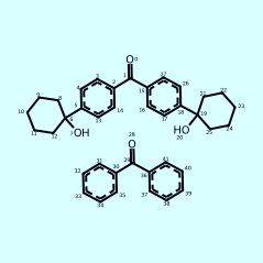 O=C(c1ccc(C2(O)CCCCC2)cc1)c1ccc(C2(O)CCCCC2)cc1.O=C(c1ccccc1)c1ccccc1